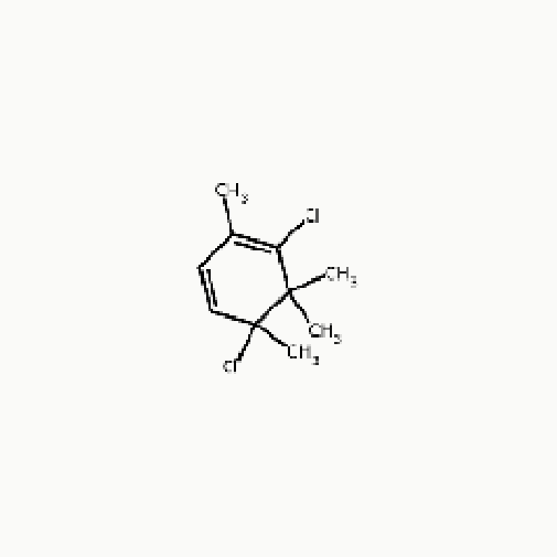 CC1=C(Cl)C(C)(C)C(C)(Cl)C=C1